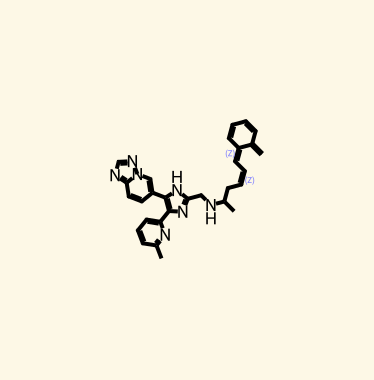 C=c1cccc/c1=C/C=C\CC(C)NCc1nc(-c2cccc(C)n2)c(-c2ccc3ncnn3c2)[nH]1